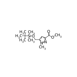 COC(=O)c1cc(CO[Si](C)(C)C(C)(C)C)n(C)n1